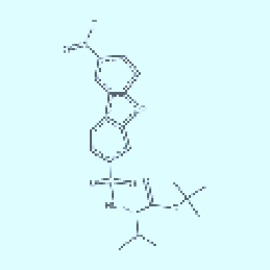 CC(C)[C@H](NS(=O)(=O)c1ccc2c(c1)oc1ccc([N+](=O)[O-])cc12)C(=O)OC(C)(C)C